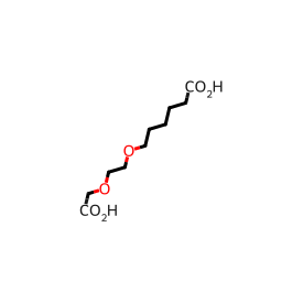 O=C(O)CCCCCOCCOCC(=O)O